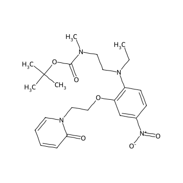 CCN(CCN(C)C(=O)OC(C)(C)C)c1ccc([N+](=O)[O-])cc1OCCn1ccccc1=O